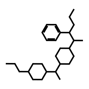 CCCC1CCC(C(C)C2CCC(C(C)C(CCC)c3ccccc3)CC2)CC1